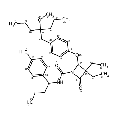 CCCC(NC(=O)N1C(=O)C(CC)(CC)C1Oc1ccc(CC(CCC)(CCC)OC)cc1)c1ccc(C)cc1